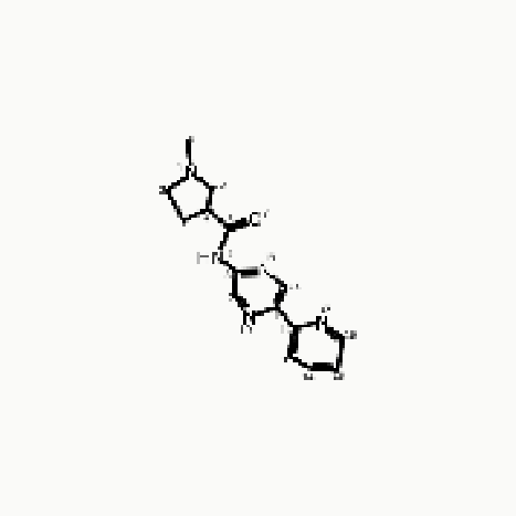 CN1CCC(C(=O)Nc2cnc(-c3ccccn3)cn2)C1